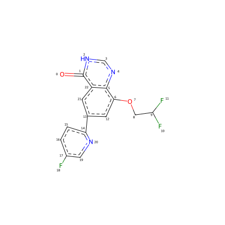 O=c1[nH]cnc2c(OCC(F)F)cc(-c3ccc(F)cn3)cc12